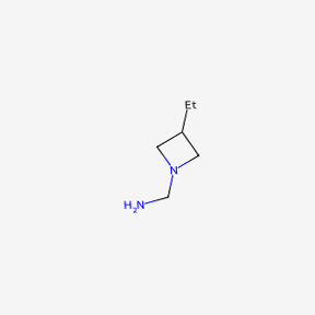 CCC1CN(CN)C1